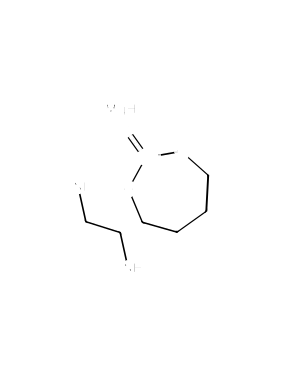 NCCN.O=[PH]1OCCCCO1.[MgH2]